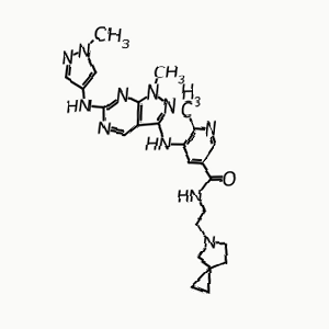 Cc1ncc(C(=O)NCCN2CCC3(CC3)C2)cc1Nc1nn(C)c2nc(Nc3cnn(C)c3)ncc12